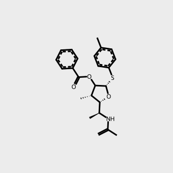 C=C(C)N[C@@H](C)[C@H]1O[C@@H](Sc2ccc(C)cc2)C(OC(=O)c2ccccc2)[C@H]1C